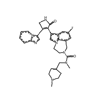 CN1CCC(CN(C)C(=O)N2CCn3cc(C4=C(c5cnc6ccccn56)CNC4=O)c4cc(F)cc(c43)C2)CC1